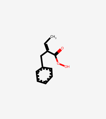 CC=C(Cc1ccccc1)C(=O)OO